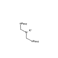 CCCCCC[N-]CCCCCC.[K+]